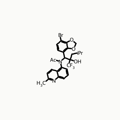 CC(=O)N(c1cccc2nc(C)ccc12)C(c1ccc(Br)c2c1OCO2)C(O)(CC(C)C)C(F)(F)F